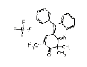 CC1=Cc2c(nc3ccccc3[n+]2-c2ccccc2)C(C)(C)C1=O.F[B-](F)(F)F